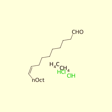 C.C.CCCCCCCC/C=C\CCCCCCCC=O.Cl.Cl